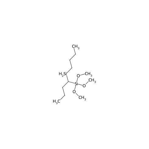 CCCC[SiH2]C(CCC)[Si](OC)(OC)OC